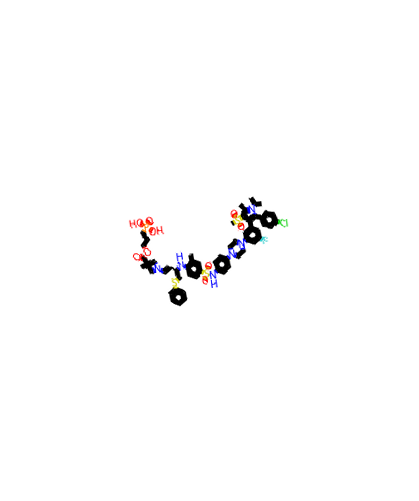 Cc1cc(S(=O)(=O)Nc2ccc(N3CCN(c4cc(F)cc(-c5c(S(C)(=O)=O)c(C)n(C(C)C)c5-c5ccc(Cl)cc5)c4)CC3)cc2)ccc1N[C@H](CCN1CC(C)(C(=O)OCCCP(=O)(O)O)C1)CSc1ccccc1